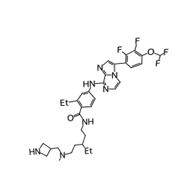 CCc1cc(Nc2nccn3c(-c4ccc(OC(F)F)c(F)c4F)cnc23)ccc1C(=O)NCCC(CC)CCN(C)CC1CNC1